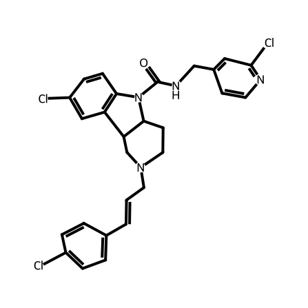 O=C(NCc1ccnc(Cl)c1)N1c2ccc(Cl)cc2C2CN(CC=Cc3ccc(Cl)cc3)CCC21